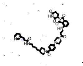 O=C(/C=C/c1cccnc1)NCCCCC1CCN(C(=O)c2ccc(N3CCN(C(=O)CCNc4cccc5c4C(=O)N(C4CCC(=O)NC4=O)C5=O)CC3)cc2)CC1